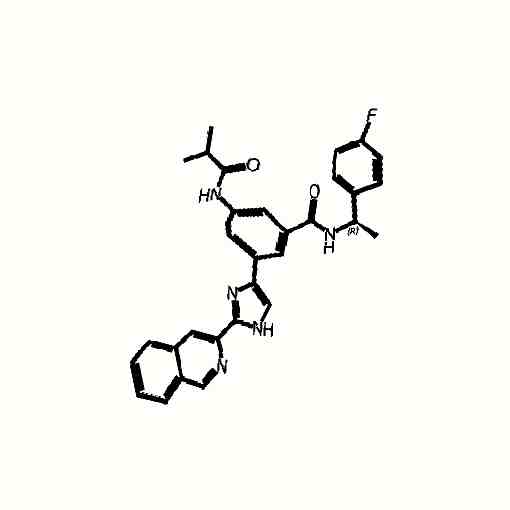 CC(C)C(=O)Nc1cc(C(=O)N[C@H](C)c2ccc(F)cc2)cc(-c2c[nH]c(-c3cc4ccccc4cn3)n2)c1